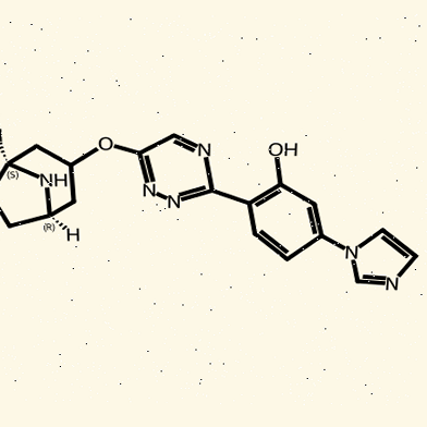 Oc1cc(-n2ccnc2)ccc1-c1ncc(OC2C[C@H]3CC[C@@H](C2)N3)nn1